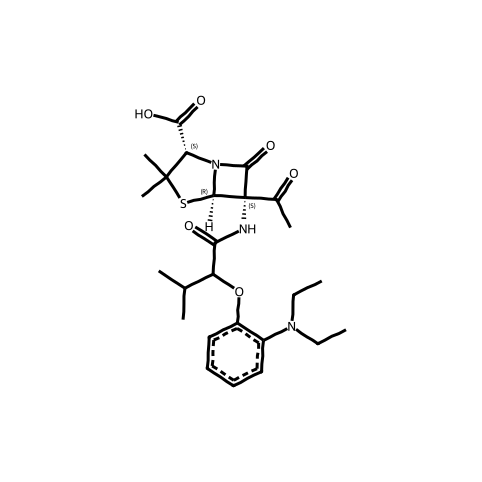 CCN(CC)c1ccccc1OC(C(=O)N[C@@]1(C(C)=O)C(=O)N2[C@@H](C(=O)O)C(C)(C)S[C@@H]21)C(C)C